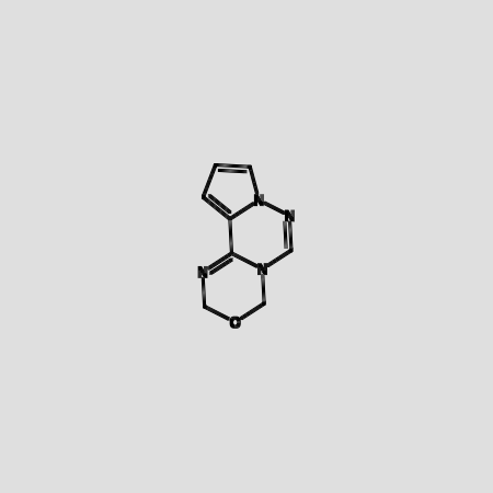 C1=Nn2cccc2C2=NCOCN12